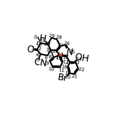 C[C@@H]1C(=O)C(C#N)C[C@@]2(c3ccccc3)c3nc(-c4cc(Br)ccc4O)ncc3CC[C@@H]12